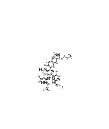 COCCCc1nn(C)c2ccc(CC(C[C@H](N)C(CC(C(=O)NCC3CC3)C(C)C)OC(=O)[C@@H](NC(=O)CN)C(C)C)C(C)C)cc12